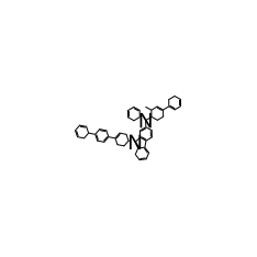 CC1C=C(C2=CC=CCC2)CCC1N(c1ccc2c(c1)N(C1CC=C(c3ccc(C4C=CC=CC4)cc3)CC1)C1CC=CC=C21)C1C=CC=CC1